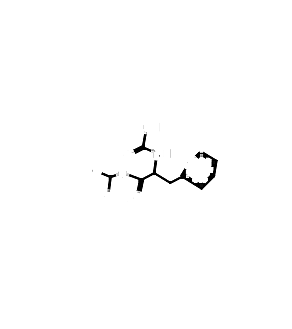 CC(=O)NC(Cc1ccccc1)C(=O)OC(C)C